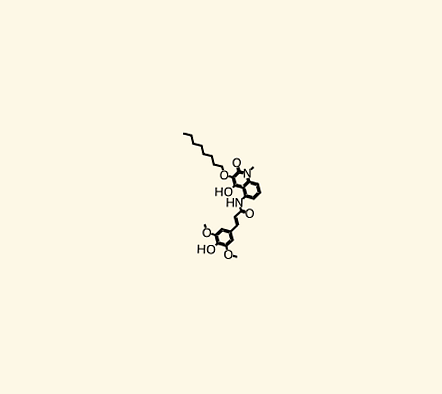 CCCCCCCCOc1c(O)c2c(NC(=O)C=Cc3cc(OC)c(O)c(OC)c3)cccc2n(C)c1=O